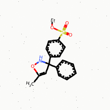 CCOS(=O)(=O)c1ccc(C2(c3ccccc3)C=C(C)ON2)cc1